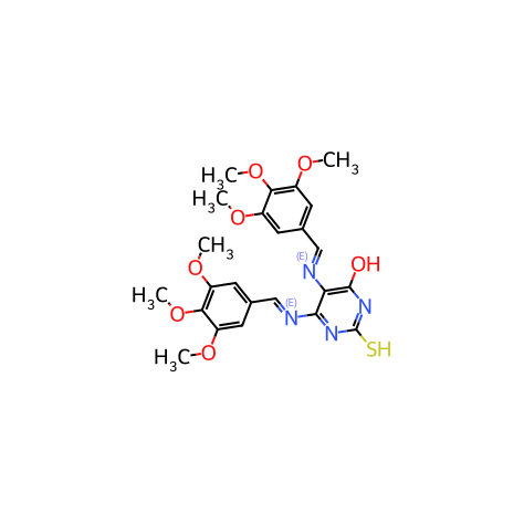 COc1cc(/C=N/c2nc(S)nc(O)c2/N=C/c2cc(OC)c(OC)c(OC)c2)cc(OC)c1OC